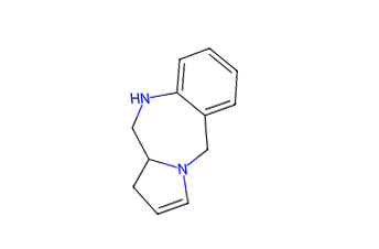 C1=CN2Cc3ccccc3NCC2C1